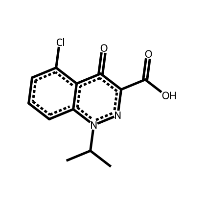 CC(C)n1nc(C(=O)O)c(=O)c2c(Cl)cccc21